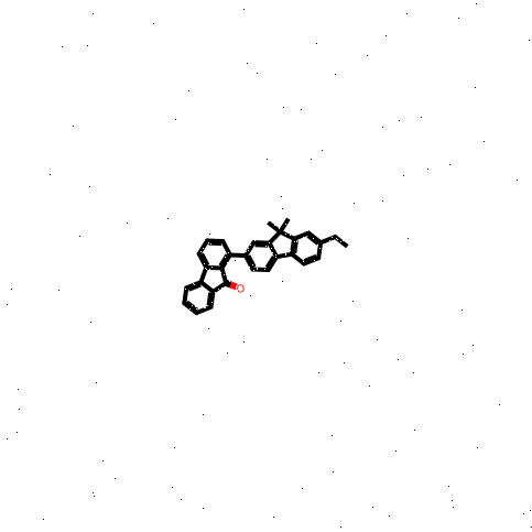 CCc1ccc2c(c1)C(C)(C)c1cc(-c3cccc4c3C(=O)c3ccccc3-4)ccc1-2